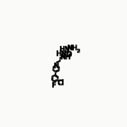 NNC(=O)NNCCCN1CC=C(c2ccc(F)c(Cl)c2)CC1